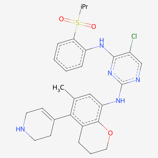 Cc1cc(Nc2ncc(Cl)c(Nc3ccccc3S(=O)(=O)C(C)C)n2)c2c(c1C1=CCNCC1)CCCO2